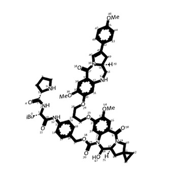 CCC(C)[C@H](NC(=O)[C@@H]1CCCN1)C(=O)Nc1ccc(COC(=O)N2c3cc(OCCCOc4cc5c(cc4OC)C(=O)N4C=C(c6ccc(OC)cc6)C[C@H]4CN5)c(OC)cc3C(=O)N3CC4(CC4)C[C@H]3C2O)cc1